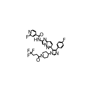 O=C(Nc1cn2nc(-c3c(-c4ccc(F)cc4)ncn3C3CCN(C(=O)CCC(F)(F)F)CC3)ccc2n1)c1ccnc(F)c1